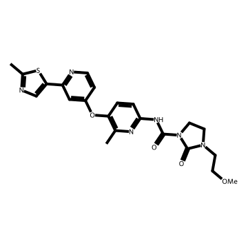 COCCN1CCN(C(=O)Nc2ccc(Oc3ccnc(-c4cnc(C)s4)c3)c(C)n2)C1=O